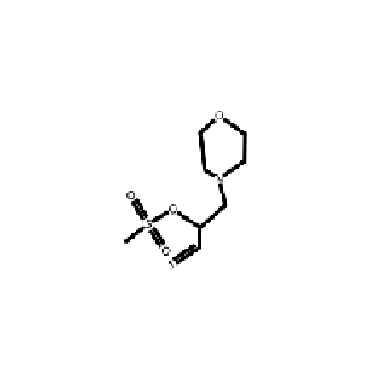 CS(=O)(=O)OC(C=S)CN1CCOCC1